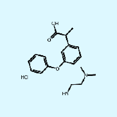 CC(C(=O)O)c1cccc(Oc2ccccc2)c1.CN(C)CCS.Cl